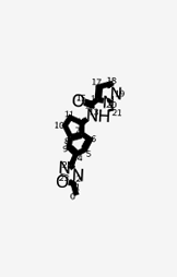 Cc1nc(-c2ccc3c(c2)CCC3NC(=O)c2ccnn2C)no1